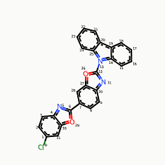 Clc1ccc2nc(-c3ccc4nc(-n5c6ccccc6c6ccccc65)oc4c3)oc2c1